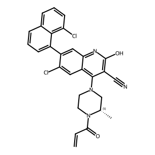 C=CC(=O)N1CCN(c2c(C#N)c(O)nc3cc(-c4cccc5cccc(Cl)c45)c(Cl)cc23)C[C@@H]1C